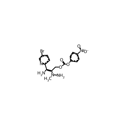 CN(N)/C(COC(=O)Oc1ccc([N+](=O)[O-])cc1)=C(\N)c1ccc(Br)cn1